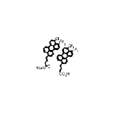 COC(=O)CCCc1ccc2c3ccc(C(F)(F)F)c4c(C(F)(F)F)ccc(c5cccc1c52)c43.O=C(O)CCCc1ccc2c3ccc(C(F)(F)F)c4c(C(F)(F)F)ccc(c5cccc1c52)c43